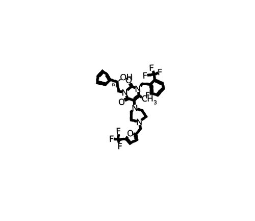 Cc1c(N2CCN(Cc3ccc(C(F)(F)F)o3)CC2)c(=O)n(C[C@@H](O)c2ccccc2)c(=O)n1Cc1c(F)cccc1C(F)(F)F